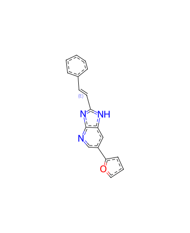 C(=C\c1nc2ncc(-c3ccco3)cc2[nH]1)/c1ccccc1